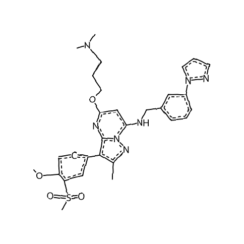 COc1ccc(-c2c(C)nn3c(NCc4cccc(-n5cccn5)c4)cc(OCCCN(C)C)nc23)cc1S(C)(=O)=O